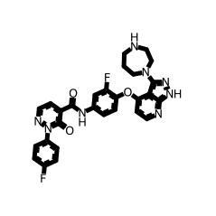 O=C(Nc1ccc(Oc2ccnc3[nH]nc(N4CCCNCC4)c23)c(F)c1)c1ccnn(-c2ccc(F)cc2)c1=O